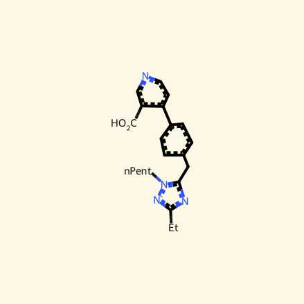 CCCCCn1nc(CC)nc1Cc1ccc(-c2ccncc2C(=O)O)cc1